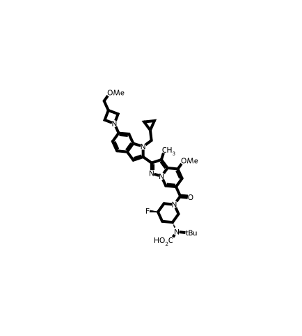 COCC1CN(c2ccc3cc(-c4nn5cc(C(=O)N6C[C@H](F)C[C@@H](N(C(=O)O)C(C)(C)C)C6)cc(OC)c5c4C)n(CC4CC4)c3c2)C1